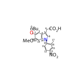 CCCCOc1cc2c(CC(=O)O)cn(-c3ccc([N+](=O)[O-])cc3C)c2cc1OC